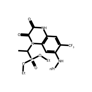 CCCNc1cc2c(cc1C(F)(F)F)[nH]c(=O)c(=O)n2C(C)P(=O)(OCC)OCC